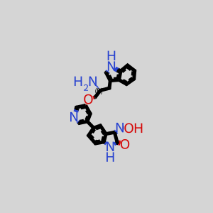 N[C@@H](COc1cncc(-c2ccc3c(c2)C(=NO)C(=O)N3)c1)Cc1c[nH]c2ccccc12